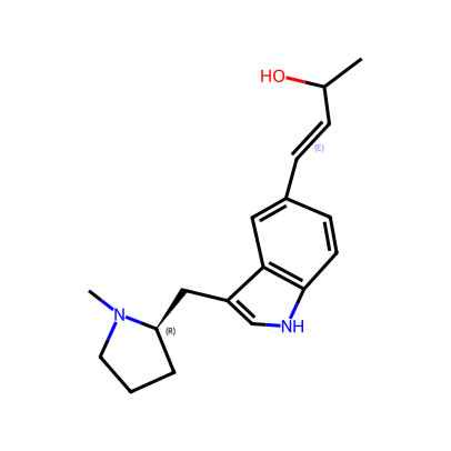 CC(O)/C=C/c1ccc2[nH]cc(C[C@H]3CCCN3C)c2c1